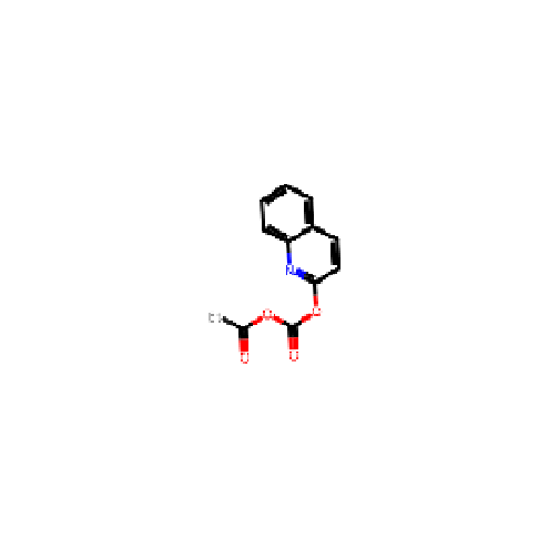 CCC(=O)OC(=O)Oc1ccc2ccccc2n1